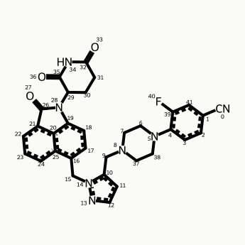 N#Cc1ccc(N2CCN(Cc3ccnn3Cc3ccc4c5c(cccc35)C(=O)N4C3CCC(=O)NC3=O)CC2)c(F)c1